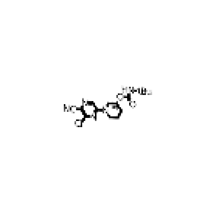 CC(C)(C)NC(=O)O[C@@H]1CCCN(c2cnc(C#N)c(Cl)n2)C1